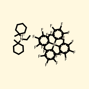 CC[NH+](C1(C)CCCCC1)C1(C)CCCCC1.Fc1c(F)c(F)c([B-](c2c(F)c(F)c(F)c(F)c2F)(c2c(F)c(F)c(F)c(F)c2F)c2c(F)c(F)c(F)c(F)c2F)c(F)c1F